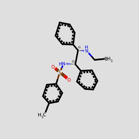 BCN[C@@H](c1ccccc1)[C@@H](NS(=O)(=O)c1ccc(C)cc1)c1ccccc1